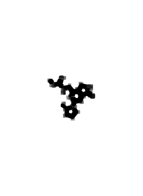 COC(=O)NCc1nc(N2CCC[C@H]2C)cc2c1CNC2=O